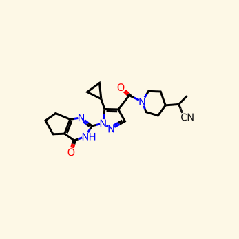 CC(C#N)C1CCN(C(=O)c2cnn(-c3nc4c(c(=O)[nH]3)CCC4)c2C2CC2)CC1